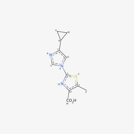 Cc1sc(-n2cnc(C3CC3)c2)nc1C(=O)O